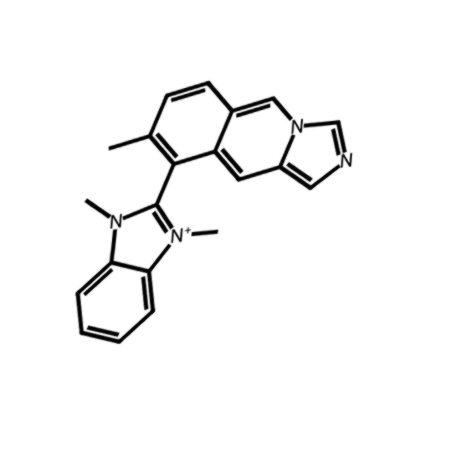 Cc1ccc2cn3cncc3cc2c1-c1n(C)c2ccccc2[n+]1C